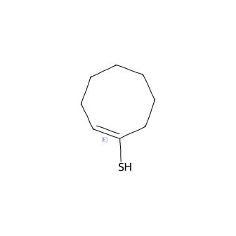 S/C1=C/CCCCCC1